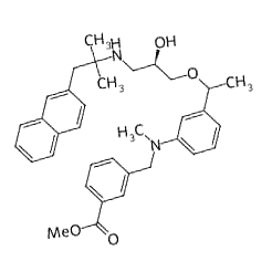 COC(=O)c1cccc(CN(C)c2cccc(C(C)OC[C@H](O)CNC(C)(C)Cc3ccc4ccccc4c3)c2)c1